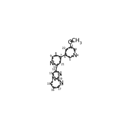 COc1cncc(-c2ccnc(-c3cn4cccnc4n3)c2)c1